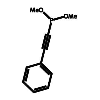 COP(C#Cc1ccccc1)OC